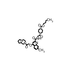 CCCCOC(=O)N1CCN(C(=O)CNC(=O)c2cc(OCC(=O)N3CCN4CCCC4C3)c3ccc(C)cc3n2)CC1